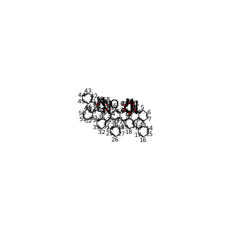 c1ccc(-c2ccccc2-c2c(-c3ccccc3)ccc(-c3c(-c4ccccc4)c(-c4ccccc4-c4nnnc(-c5ccccc5)c4-c4ccccc4)c4c(oc5ccccc54)c3-c3ccccc3)c2-c2ccnnn2)cc1